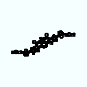 CCCCCCCCc1ccc(-c2cc3c(nc4c5ccc6c7c(sc(c(=O)n34)c57)c(=O)n3c4cc(-c5ccc(CCCCCCCC)o5)sc4nc63)s2)o1